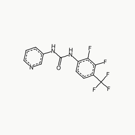 O=C(Nc1cccnc1)Nc1ccc(C(F)(F)F)c(F)c1F